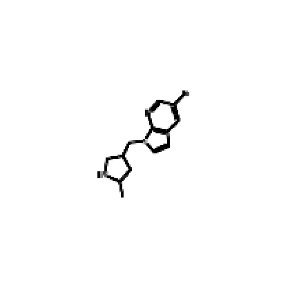 CC1CC(Cn2ccc3cc(Br)cnc32)CN1